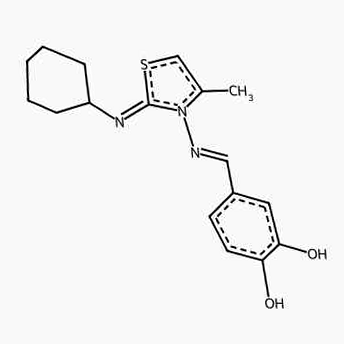 Cc1cs/c(=N\C2CCCCC2)n1/N=C/c1ccc(O)c(O)c1